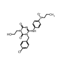 CCC[S+]([O-])c1ccc(Nc2nc(=O)n(CCO)c(=O)n2Cc2ccc(Cl)cc2)cc1